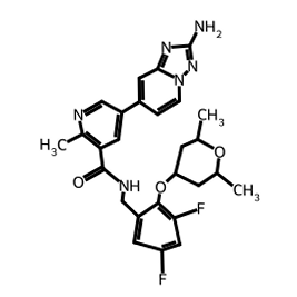 Cc1ncc(-c2ccn3nc(N)nc3c2)cc1C(=O)NCc1cc(F)cc(F)c1OC1CC(C)OC(C)C1